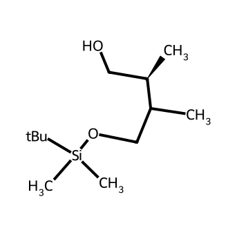 CC(CO[Si](C)(C)C(C)(C)C)[C@H](C)CO